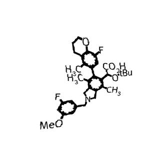 COc1cc(F)cc(CN2Cc3c(C)c(-c4cc(F)c5c(c4C)CCCO5)c([C@H](OC(C)(C)C)C(=O)O)c(C)c3C2)c1